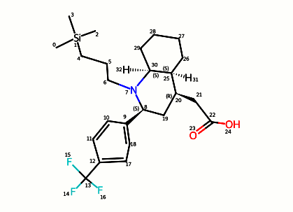 C[Si](C)(C)CCCN1[C@H](c2ccc(C(F)(F)F)cc2)C[C@H](CC(=O)O)[C@@H]2CCCC[C@@H]21